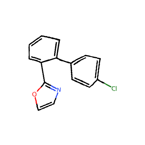 Clc1ccc(-c2ccccc2-c2ncco2)cc1